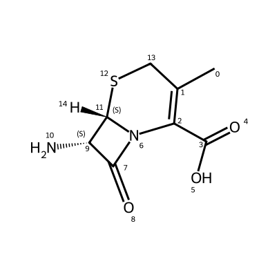 CC1=C(C(=O)O)N2C(=O)[C@H](N)[C@@H]2SC1